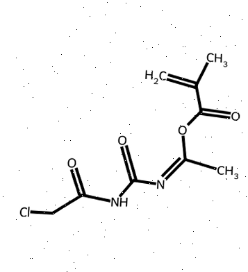 C=C(C)C(=O)O/C(C)=N\C(=O)NC(=O)CCl